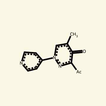 CC(=O)c1nn(-c2ccncc2)cc(C)c1=O